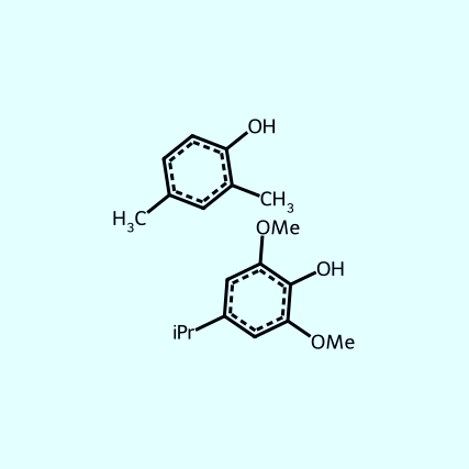 COc1cc(C(C)C)cc(OC)c1O.Cc1ccc(O)c(C)c1